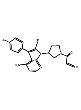 C=CC(=O)N1CCC(n2c(F)c(-c3ccc(Cl)cc3)c3c(N)ncnc32)C1